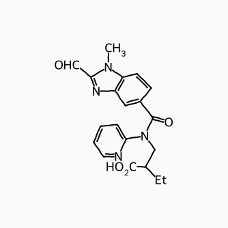 CCC(CN(C(=O)c1ccc2c(c1)nc(C=O)n2C)c1ccccn1)C(=O)O